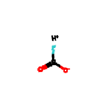 O=[Si]([O-])F.[H+]